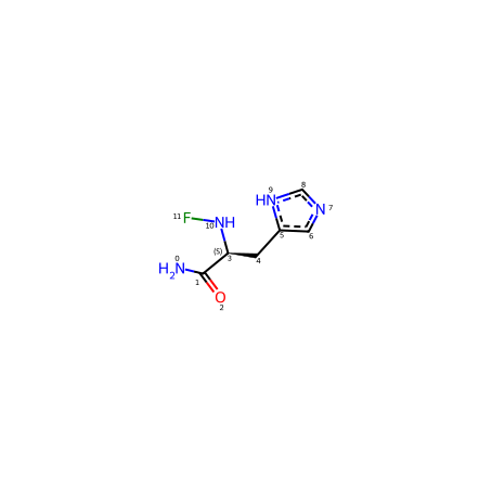 NC(=O)[C@H](Cc1cnc[nH]1)NF